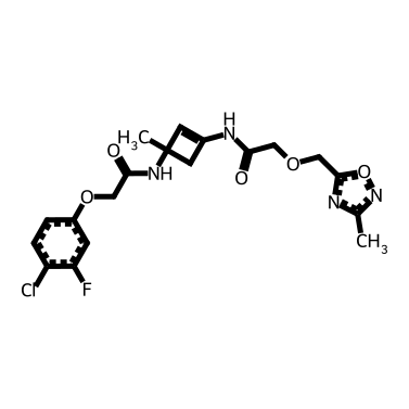 Cc1noc(COCC(=O)NC2=CC(C)(NC(=O)COc3ccc(Cl)c(F)c3)C2)n1